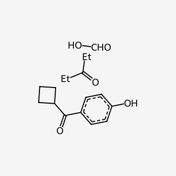 CCC(=O)CC.O=C(c1ccc(O)cc1)C1CCC1.O=CO